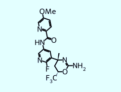 COc1ccc(C(=O)Nc2cnc(F)c([C@@]3(C)C[C@@H](C(F)(F)F)OC(N)=N3)c2)nc1